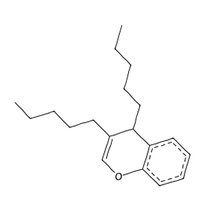 CCCCCC1=COc2ccccc2C1CCCCC